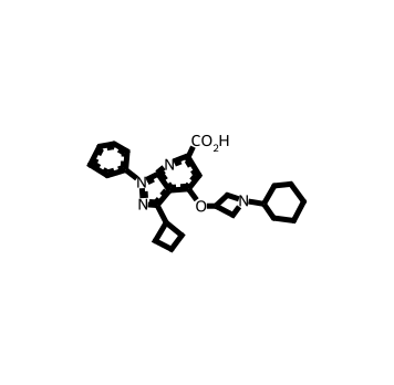 O=C(O)c1cc(OC2CN(C3CCCCC3)C2)c2c(C3CCC3)nn(-c3ccccc3)c2n1